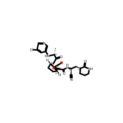 C[C@@H](Nc1cncc(Cl)c1)C(=O)N1[C@H]2CC[C@@H]([C@@H]1C(=O)N[C@H](C#N)C[C@@H]1CCCNC1=O)C(F)(F)C2